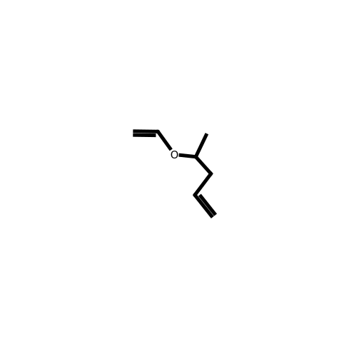 C=CCC(C)OC=C